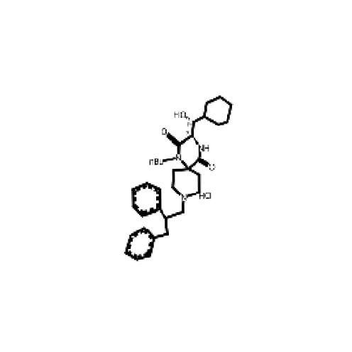 CCCCN1C(=O)[C@@H]([C@H](O)C2CCCCC2)NC(=O)C12CCN(CC(Cc1ccccc1)c1ccccc1)CC2.Cl